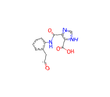 O=[C]Cc1ccccc1NC(=O)c1nc[nH]c1C(=O)O